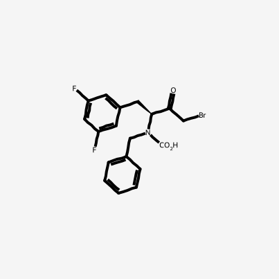 O=C(CBr)[C@H](Cc1cc(F)cc(F)c1)N(Cc1ccccc1)C(=O)O